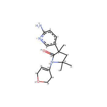 CC1(c2ccc(N)nc2)CC(C)(C)N(C2=CCOCC2)C1=O